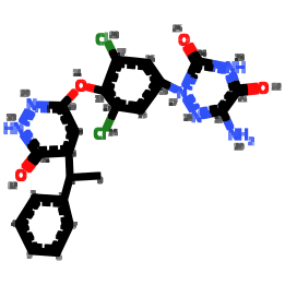 CC(c1ccccc1)c1cc(Oc2c(Cl)cc(-n3nc(N)c(=O)[nH]c3=O)cc2Cl)n[nH]c1=O